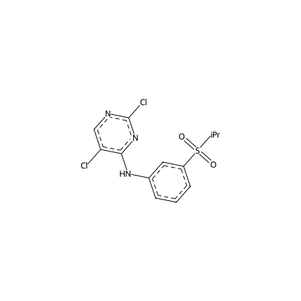 CC(C)S(=O)(=O)c1cccc(Nc2nc(Cl)ncc2Cl)c1